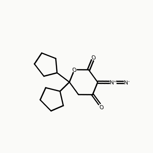 [N-]=[N+]=C1C(=O)CC(C2CCCC2)(C2CCCC2)OC1=O